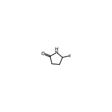 O=C1CCC(I)N1